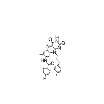 Cc1ccc(CCCn2c3nc(=O)[nH]c(=O)c-3nc3cc(C)c(NC(=O)c4ccc(F)cc4)cc32)cc1